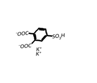 O=C([O-])c1ccc(S(=O)(=O)O)cc1C(=O)[O-].[K+].[K+]